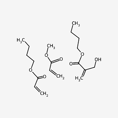 C=C(CO)C(=O)OCCCC.C=CC(=O)OC.C=CC(=O)OCCCC